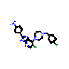 CNc1ccc(-c2nc3c(N4CCCN(Cc5ccc(F)cc5)CC4)c(Br)cnc3[nH]2)cc1